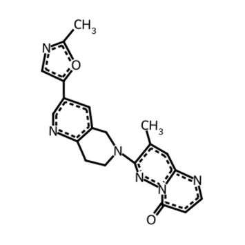 Cc1ncc(-c2cnc3c(c2)CN(c2nn4c(=O)ccnc4cc2C)CC3)o1